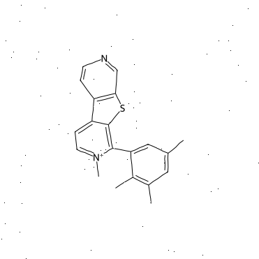 Cc1cc(C)c(C)c(-c2c3sc4cnccc4c3cc[n+]2C)c1